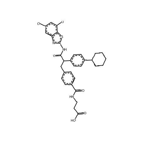 O=C(O)CCNC(=O)c1ccc(CC(C(=O)Nc2nc3cc(Cl)cc(Cl)c3s2)c2ccc(C3CCCCC3)cc2)cc1